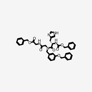 O=C(CN(Cc1cccc(OCc2ccccc2)c1)C(=O)[C@H](Cc1c[nH]cn1)NC(=O)OCc1ccccc1)NCC(=O)OCc1ccccc1